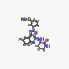 COc1cccc(-c2nc3c4cc(F)ccc4nc(N[C@H]4CCCNC4=O)n3n2)c1